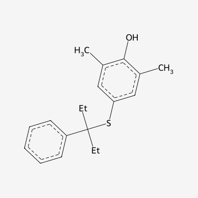 CCC(CC)(Sc1cc(C)c(O)c(C)c1)c1ccccc1